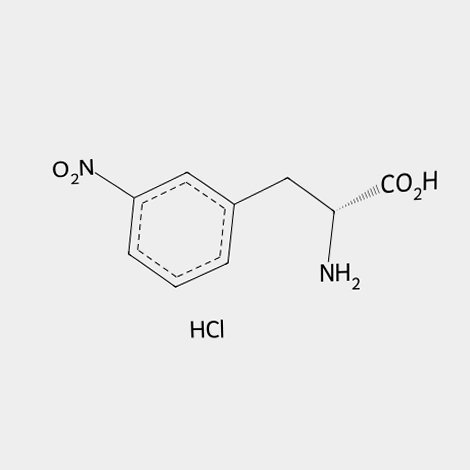 Cl.N[C@H](Cc1cccc([N+](=O)[O-])c1)C(=O)O